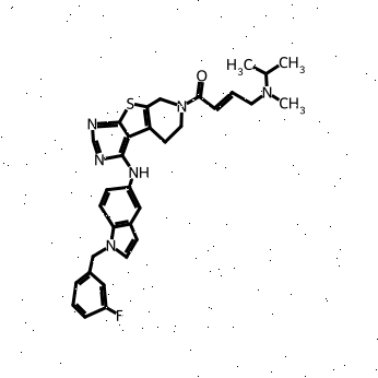 CC(C)N(C)C/C=C/C(=O)N1CCc2c(sc3ncnc(Nc4ccc5c(ccn5Cc5cccc(F)c5)c4)c23)C1